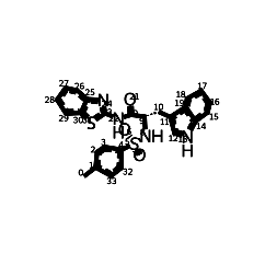 Cc1ccc(S(=O)(=O)N[C@@H](Cc2c[nH]c3ccccc23)C(=O)Nc2nc3ccccc3s2)cc1